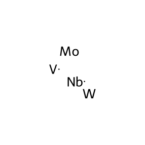 [Mo].[Nb].[V].[W]